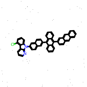 Clc1cccc2c1c1cccnc1n2-c1ccc2cc(-c3c4ccccc4c(-c4ccc5cc6ccccc6cc5c4)c4ccccc34)ccc2c1